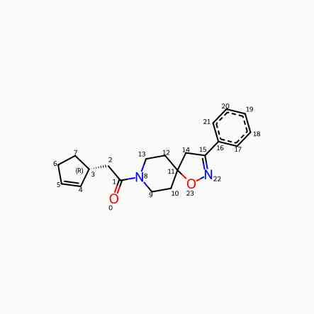 O=C(C[C@@H]1C=CCC1)N1CCC2(CC1)CC(c1ccccc1)=NO2